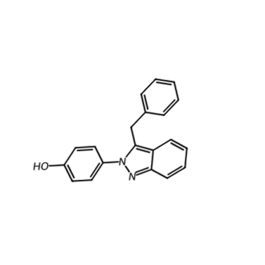 Oc1ccc(-n2nc3ccccc3c2Cc2ccccc2)cc1